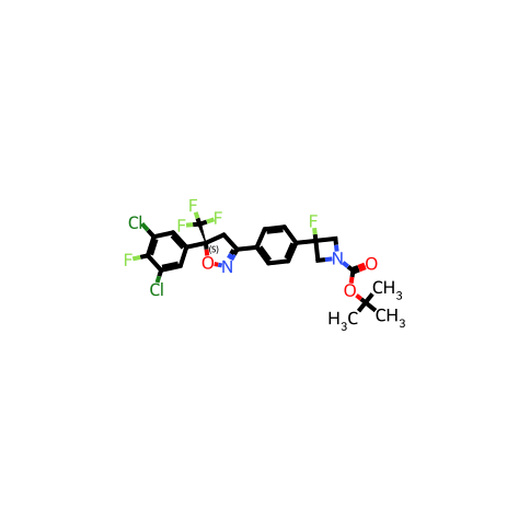 CC(C)(C)OC(=O)N1CC(F)(c2ccc(C3=NO[C@@](c4cc(Cl)c(F)c(Cl)c4)(C(F)(F)F)C3)cc2)C1